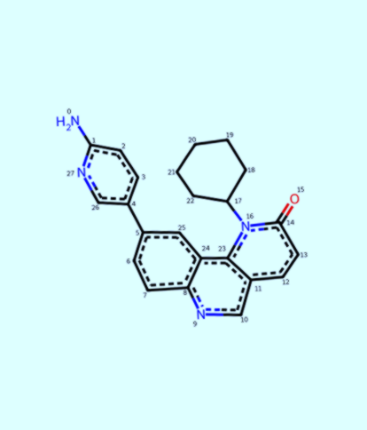 Nc1ccc(-c2ccc3ncc4ccc(=O)n(C5CCCCC5)c4c3c2)cn1